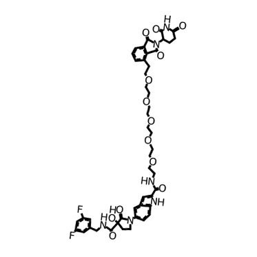 O=C1CCC(N2C(=O)c3cccc(CCOCCOCCOCCOCCOCCNC(=O)c4cc5cc(N6CCC(O)(C(=O)NCc7cc(F)cc(F)c7)C6=O)ccc5[nH]4)c3C2=O)C(=O)N1